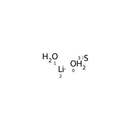 O.O.[Li].[S]